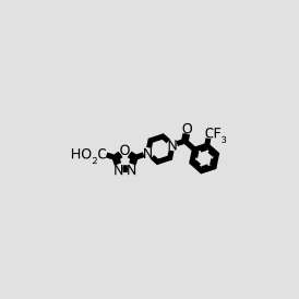 O=C(O)c1nnc(N2CCN(C(=O)c3ccccc3C(F)(F)F)CC2)o1